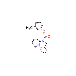 Cc1cccc(OCC(=O)N(CC2CCCO2)c2ccccn2)c1